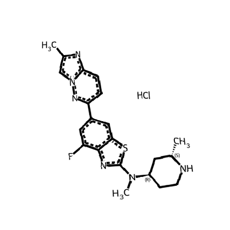 Cc1cn2nc(-c3cc(F)c4nc(N(C)[C@@H]5CCN[C@@H](C)C5)sc4c3)ccc2n1.Cl